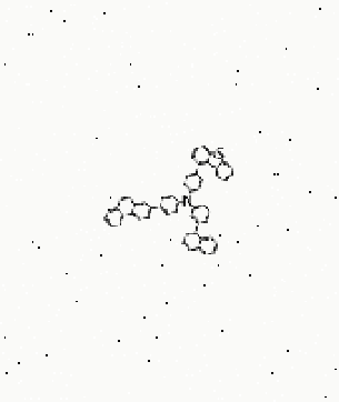 c1cc(-c2cccc3ccccc23)cc(N(c2ccc(-c3ccc4c(ccc5ccccc54)c3)cc2)c2ccc(-c3cccc4sc5ccccc5c34)cc2)c1